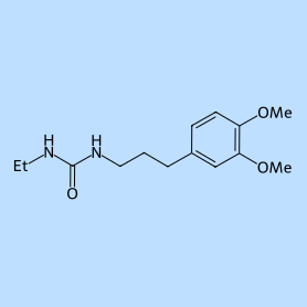 CCNC(=O)NCCCc1ccc(OC)c(OC)c1